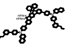 C=CCc1cccc(-c2ccc(N(c3ccc(-c4ccc5c(c4)-c4cc6c(cc4C5(c4ccccc4)C4(C)C=CC=CC4)C(CCCCCC)(CCCCCC)c4cc(-c5ccc(N(c7ccc(-c8cccc(CC=C)c8)cc7)c7ccc8ccccc8c7)cc5)ccc4-6)cc3)c3ccc4ccccc4c3)cc2)c1